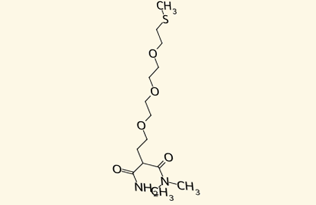 CSCCOCCOCCOCCC(C(N)=O)C(=O)N(C)C